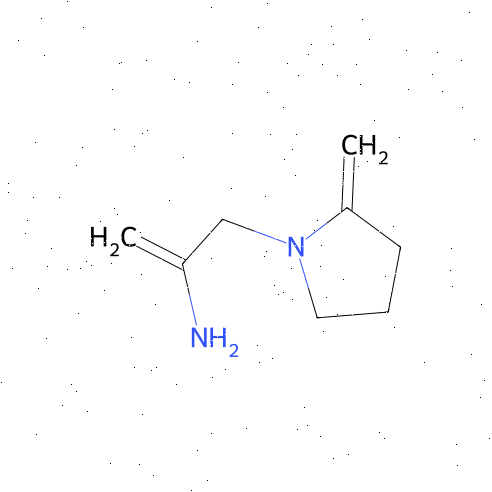 C=C(N)CN1CCCC1=C